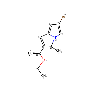 CCO[C@@H](C)C1=Cc2cc(Br)cn2C1C